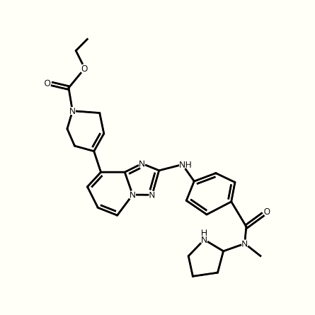 CCOC(=O)N1CC=C(c2cccn3nc(Nc4ccc(C(=O)N(C)C5CCCN5)cc4)nc23)CC1